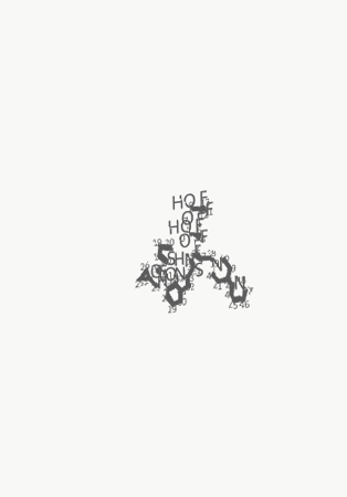 O=C(O)C(F)(F)F.O=C(O)C(F)(F)F.O=S(=O)(c1cccs1)N(CC1CC1)c1cccc2cc(-c3ncc(CN4CCC(c5ccccn5)CC4)s3)[nH]c12